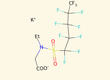 CCN(CC(=O)[O-])S(=O)(=O)C(F)(F)C(F)(F)C(F)(F)C(F)(F)C(F)(F)F.[K+]